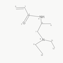 C=CC(=O)NC(C)CN(CC)CC